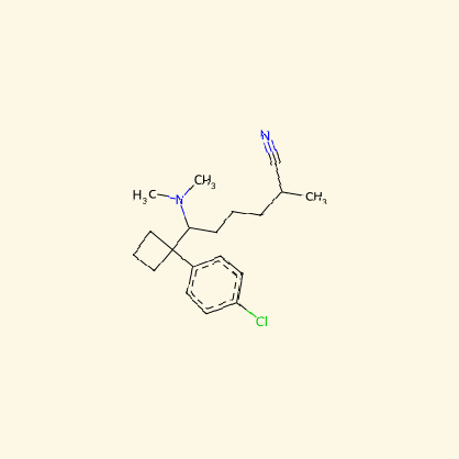 CC(C#N)CCCC(N(C)C)C1(c2ccc(Cl)cc2)CCC1